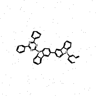 C=C/C=C(\C=C/C)n1c2ccccc2c2cc(-c3ccc4c(c3)c3ccccc3n4-c3nc(-c4ccccc4)nc(-c4ccccc4)n3)ccc21